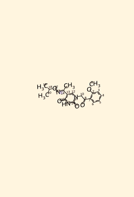 COc1ccccc1C(=O)Cn1cc(/C(C)=N/OC(C)C)c(=O)[nH]c1=O